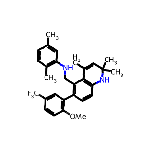 COc1ccc(C(F)(F)F)cc1-c1ccc2c(c1CNc1cc(C)ccc1C)C(C)=CC(C)(C)N2